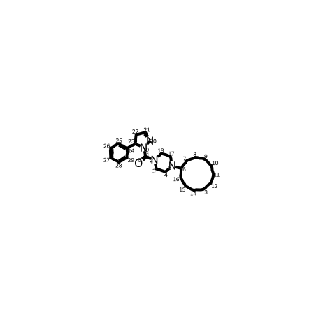 O=C(N1CCN(C2CCCCCCCCCC2)CC1)N1N=CCC1c1ccccc1